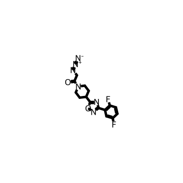 [N-]=[N+]=NCC(=O)N1CCC(c2nc(-c3cc(F)ccc3F)no2)CC1